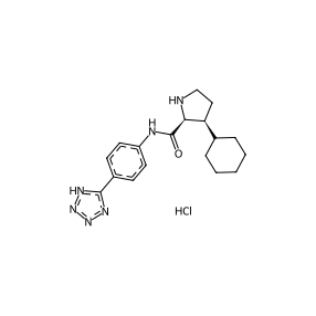 Cl.O=C(Nc1ccc(-c2nnn[nH]2)cc1)[C@H]1NCC[C@H]1C1CCCCC1